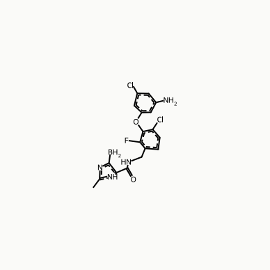 Bc1nc(C)[nH]c1C(=O)NCc1ccc(Cl)c(Oc2cc(N)cc(Cl)c2)c1F